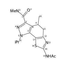 CNC(=O)c1nn(C(C)C)c2c1C(C)Cc1nc(NC(C)=O)sc1-2